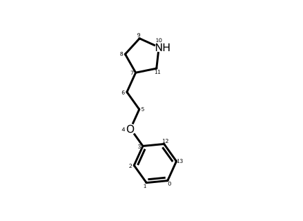 c1ccc(OCCC2CCNC2)cc1